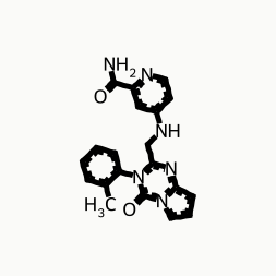 Cc1ccccc1-n1c(CNc2ccnc(C(N)=O)c2)nc2cccn2c1=O